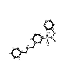 CN(Cc1ccccc1)S(=O)(=O)c1cccc(CNCc2ccccn2)c1